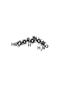 NC(=O)c1ccn(-c2ccc(-n3ncc4cc(NC(=O)c5ccc(N6CCC(O)CC6)cc5)ccc43)cc2)n1